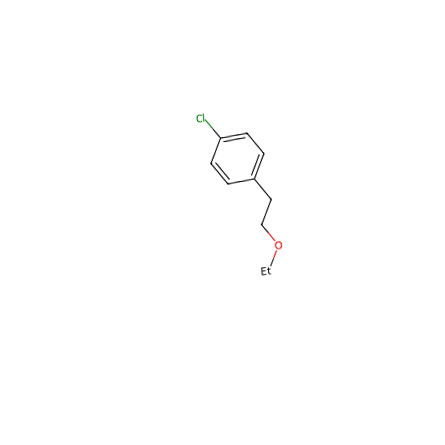 [CH2]COCCc1ccc(Cl)cc1